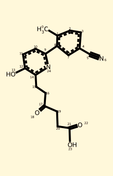 Cc1ccc(C#N)cc1-c1ccc(O)c(CCC(=O)CCC(=O)O)n1